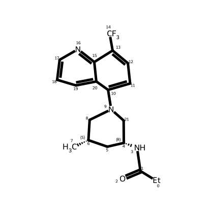 CCC(=O)N[C@@H]1C[C@H](C)CN(c2ccc(C(F)(F)F)c3ncccc23)C1